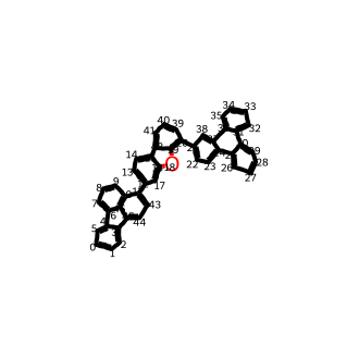 c1ccc2c(c1)-c1cccc3c(-c4ccc5c(c4)oc4c(-c6ccc7c8ccccc8c8ccccc8c7c6)cccc45)ccc-2c13